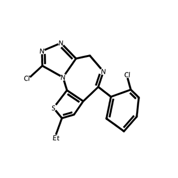 CCc1cc2c(s1)-n1c(Cl)nnc1CN=C2c1ccccc1Cl